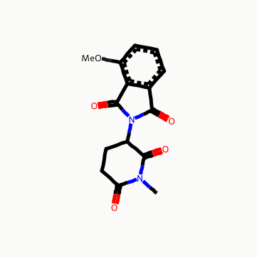 COc1cccc2c1C(=O)N(C1CCC(=O)N(C)C1=O)C2=O